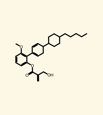 C=C(CO)C(=O)Oc1cccc(OC)c1C1=CCC(C2CCC(CCCCC)CC2)C=C1